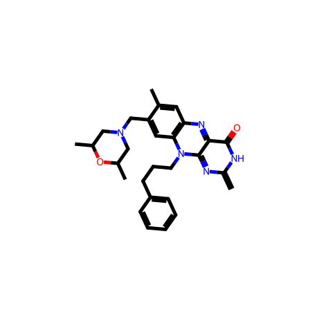 C=c1nc2c(c(=O)[nH]1)=Nc1cc(C)c(CN3CC(C)OC(C)C3)cc1N2CCCc1ccccc1